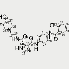 O=C(Nc1ccc(NC(=O)c2nc[nH]c2C(=O)NCCN2CCC(O)CC2)cc1)c1ccccc1Cl